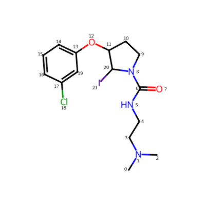 CN(C)CCNC(=O)N1CCC(Oc2cccc(Cl)c2)C1I